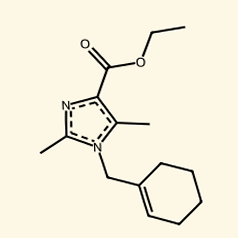 CCOC(=O)c1nc(C)n(CC2=CCCCC2)c1C